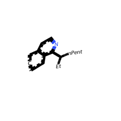 CCCCCC(CC)c1nccc2ccccc12